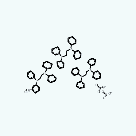 O=[N+]([O-])[O-].O=[N+]([O-])[O-].[Cu+].[Cu+].c1ccc(P(CCP(c2ccccc2)c2ccccc2)c2ccccc2)cc1.c1ccc(P(CCP(c2ccccc2)c2ccccc2)c2ccccc2)cc1.c1ccc(P(CCP(c2ccccc2)c2ccccc2)c2ccccc2)cc1